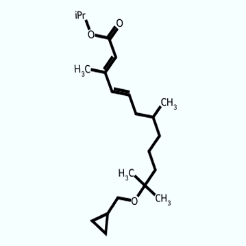 CC(C=CCC(C)CCCC(C)(C)OCC1CC1)=CC(=O)OC(C)C